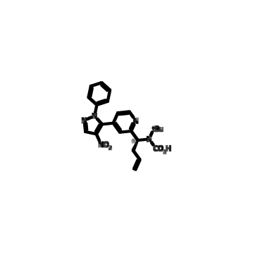 C=CC[C@@H](c1cc(-c2c([N+](=O)[O-])cnn2-c2ccccc2)ccn1)N(C(=O)O)C(C)(C)C